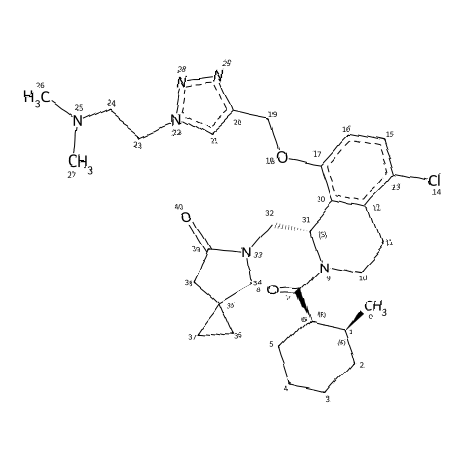 C[C@H]1CCCC[C@H]1C(=O)N1CCc2c(Cl)ccc(OCc3cn(CCN(C)C)nn3)c2[C@H]1CN1CC2(CC2)CC1=O